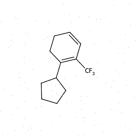 FC(F)(F)C1=C(C2CCCC2)CCC=C1